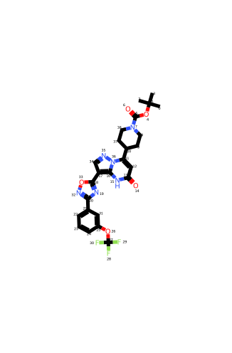 CC(C)(C)OC(=O)N1CCC(c2cc(=O)[nH]c3c(-c4nc(-c5cccc(OC(F)(F)F)c5)no4)cnn23)CC1